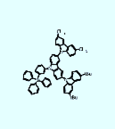 Cc1ccc2c(c1)c1cc(C)ccc1n2-c1ccc2c(c1)c1cc(-n3c4ccc(C(C)(C)C)cc4c4cc(C(C)(C)C)ccc43)ccc1n2-c1cccc([Si](c2ccccc2)(c2ccccc2)c2ccccc2)c1